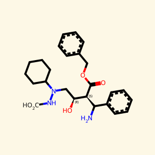 NC(c1ccccc1)[C@H](C(=O)OCc1ccccc1)[C@@H](O)CN(NC(=O)O)C1CCCCC1